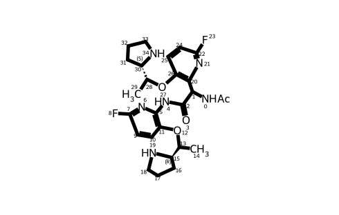 CC(=O)NC(C(=O)Nc1nc(F)ccc1OC(C)[C@H]1CCCN1)c1nc(F)ccc1OC(C)[C@@H]1CCCN1